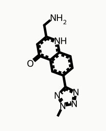 Cn1nnc(-c2ccc3[nH]c(CN)cc(=O)c3c2)n1